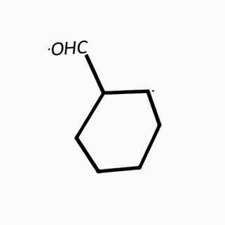 O=[C]C1[CH]CCCC1